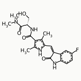 Cc1[nH]c(/C=C2\C(=O)Nc3ccc(F)cc32)c(C)c1C(=O)N[C@@H](CO)C(=O)N(C)C